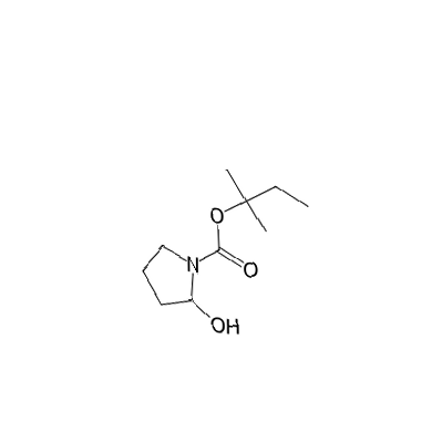 CCC(C)(C)OC(=O)N1CCCC1O